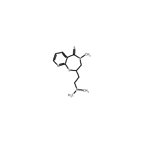 CN(C)CCC1CN(C)C(=S)c2cccnc2S1